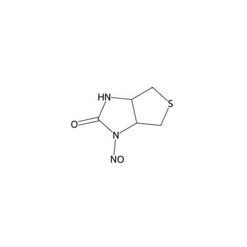 O=NN1C(=O)NC2CSCC21